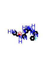 O=C(CC1CCNCC1)Nc1cncc(-c2cc3c(-c4nc5c(-c6ccccc6F)nccc5[nH]4)n[nH]c3cn2)c1